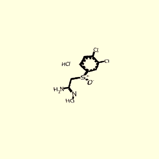 Cl.NC(C[S+]([O-])c1ccc(Cl)c(Cl)c1)=NO